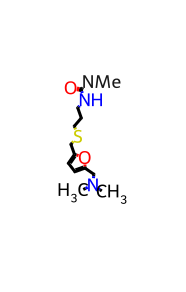 CNC(=O)NCCCSCc1ccc(CN(C)C)o1